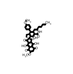 C/C=C/C=C/c1cc2c(-c3ccc(OC)cc3)c3c(c(O)c2c(=O)[nH]1)[C@@]1(CC3)C(=O)c2c(O)c3c(c(O)c2C1=O)C(=O)C(OC)=CC3=O